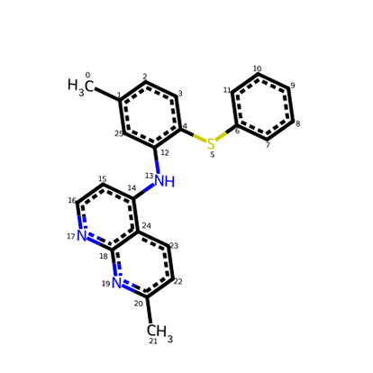 Cc1ccc(Sc2ccccc2)c(Nc2ccnc3nc(C)ccc23)c1